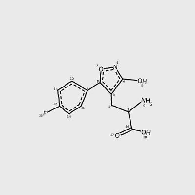 NC(Cc1c(O)noc1-c1ccc(F)cc1)C(=O)O